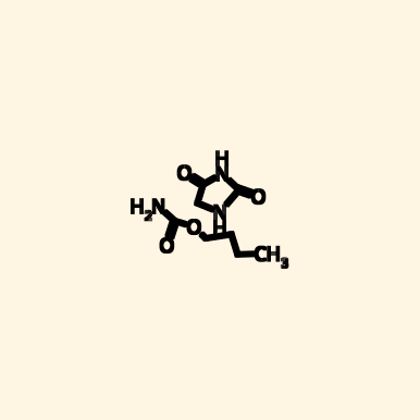 CCCCOC(N)=O.O=C1CNC(=O)N1